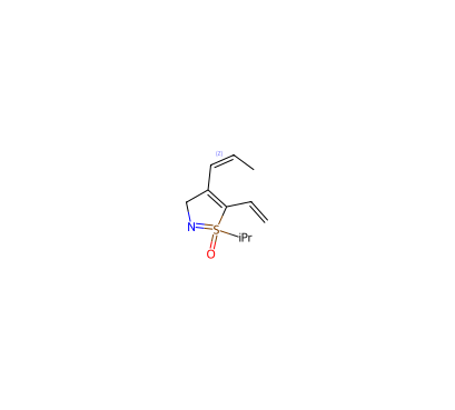 C=CC1=C(/C=C\C)CN=S1(=O)C(C)C